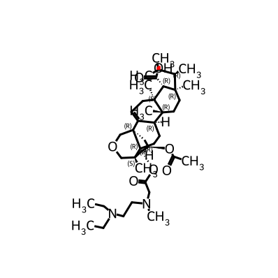 CCN(CC)CCN(C)CC(=O)O[C@H]1[C@H](OC(C)=O)C[C@@]23COC[C@]1(C)[C@@H]2CC[C@H]1C3=CC[C@@]2(C)[C@H](C(=O)O)[C@@](C)([C@H](C)C(C)C)CC[C@]12C